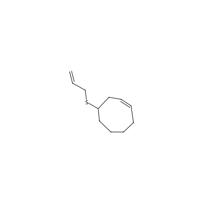 C=CCSC1C/C=C\CCCC1